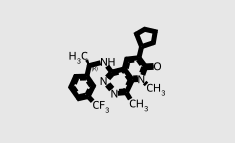 Cc1nnc(N[C@H](C)c2cccc(C(F)(F)F)c2)c2cc(C3CCCC3)c(=O)n(C)c12